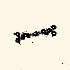 Cc1cccc(N(c2cccc(C)c2)c2ccc3c(c2)C(C)(C)c2cc(/C=C/c4ccc(/C=C/c5ccc6c(c5)C(C)(C)c5cc(N(c7ccccc7)c7ccccc7)ccc5-6)cc4)ccc2-3)c1